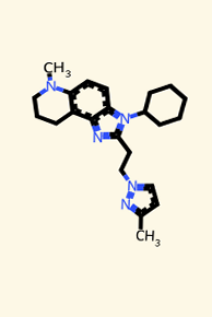 Cc1ccn(CCc2nc3c4c(ccc3n2C2CCCCC2)N(C)CCC4)n1